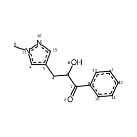 Cn1cc(CC(O)C(=O)c2ccccc2)cn1